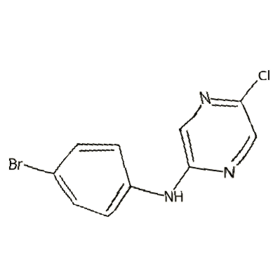 Clc1cnc(Nc2ccc(Br)cc2)cn1